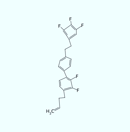 C=CCCc1ccc(-c2ccc(CCc3cc(F)c(F)c(F)c3)cc2)c(F)c1F